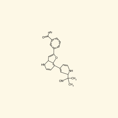 CCCC(=O)c1cccc(C2=CC3NC=CC(C4=CC(C(C)(C)N=O)NC=C4)=C3O2)c1